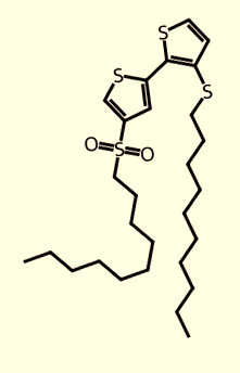 CCCCCCCCCCSc1ccsc1-c1cc(S(=O)(=O)CCCCCCCCCC)cs1